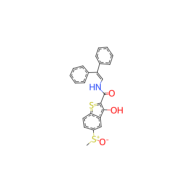 C[S+]([O-])c1ccc2sc(C(=O)NC=C(c3ccccc3)c3ccccc3)c(O)c2c1